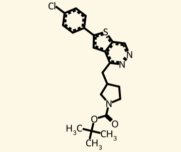 CC(C)(C)OC(=O)N1CCC(Cc2nncc3sc(-c4ccc(Cl)cc4)cc23)C1